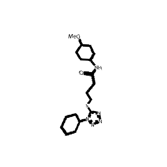 COC1CCC(NC(=O)CCCSc2nnnn2C2CCCCC2)CC1